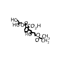 C=C(C)C(=O)OCCC(O)Cc1cccc(C(=O)OCC(O)CO)c1C(=O)O